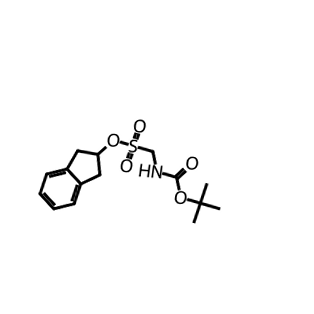 CC(C)(C)OC(=O)NCS(=O)(=O)OC1Cc2ccccc2C1